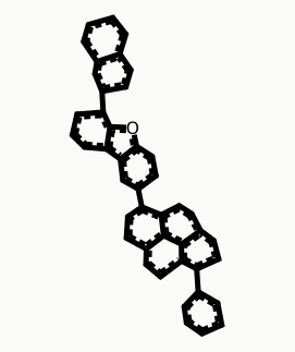 c1ccc(-c2ccc3ccc4c(-c5ccc6oc7c(-c8ccc9ccccc9c8)cccc7c6c5)ccc5ccc2c3c54)cc1